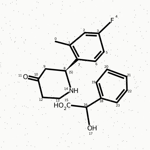 Cc1cc(F)ccc1[C@@H]1CC(=O)CCN1.O=C(O)C(O)c1ccccc1